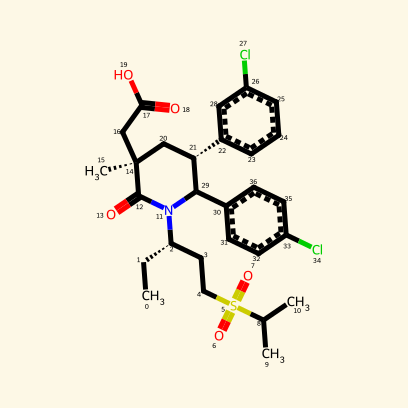 CC[C@@H](CCS(=O)(=O)C(C)C)N1C(=O)[C@@](C)(CC(=O)O)C[C@H](c2cccc(Cl)c2)C1c1ccc(Cl)cc1